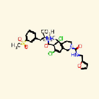 CC1(Cl)C2=C(C=C(Cl)C1C(=O)N[C@@H](Cc1cccc(S(C)(=O)=O)c1)C(=O)O)CN(C(=O)NCc1ccco1)CC2